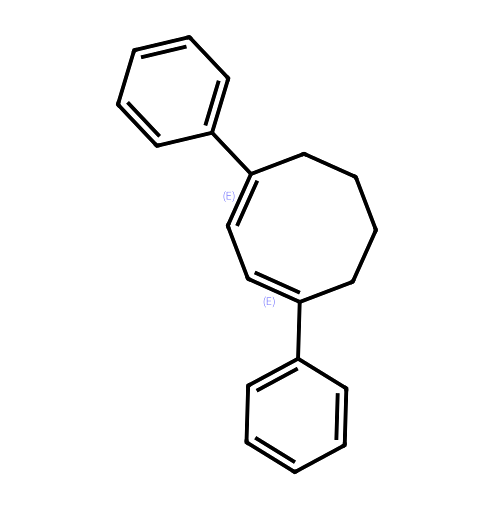 C1=C(/c2ccccc2)CCCC\C(c2ccccc2)=C/1